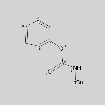 CC(C)(C)NC(=O)Oc1ccccc1